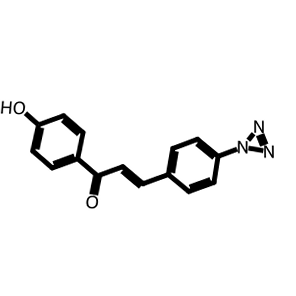 O=C(C=Cc1ccc(N2N=N2)cc1)c1ccc(O)cc1